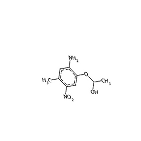 Cc1cc(N)c(OC(C)O)cc1[N+](=O)[O-]